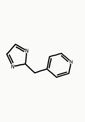 C1=NC(Cc2ccncc2)N=C1